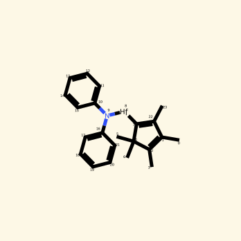 CC1=C(C)C(C)(C)[C]([Hf][N](c2ccccc2)c2ccccc2)=C1C